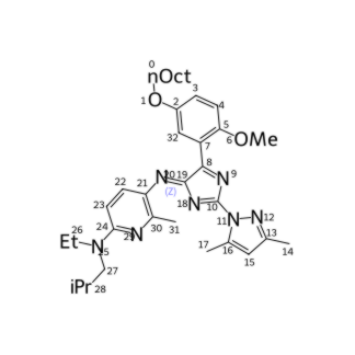 CCCCCCCCOc1ccc(OC)c(C2=NC(n3nc(C)cc3C)=N/C2=N\c2ccc(N(CC)CC(C)C)nc2C)c1